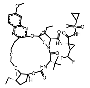 CC[C@H]1CC[C@H]2OC(=O)N[C@@H](C(C)(C)C)C(=O)N3C[C@H](Oc4nc5cc(OC)ccc5nc4CCCCC[C@H]12)[C@@H](CC)[C@H]3C(=O)N[C@]1(C(=O)NS(=O)(=O)C2CC2)CC1C(F)F